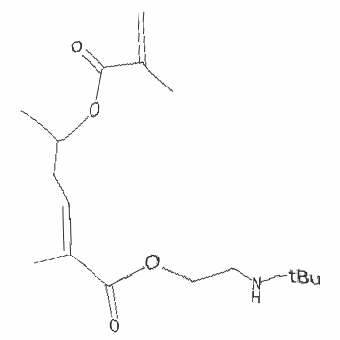 C=C(C)C(=O)OC(C)CC=C(C)C(=O)OCCNC(C)(C)C